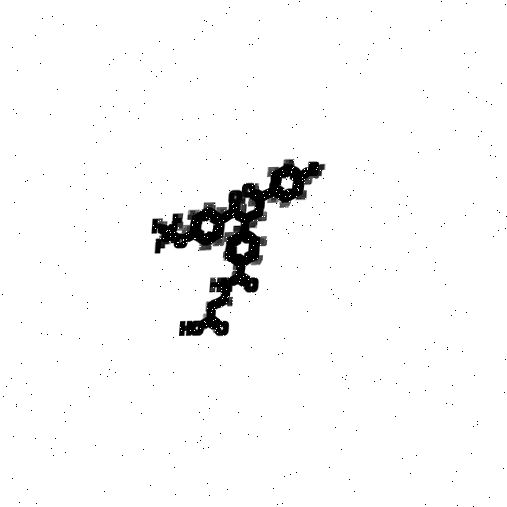 O=C(O)CCNC(=O)c1ccc(C(CC(=O)c2ccc(Br)cc2)C(=O)c2ccc(OC(F)(F)F)cc2)cc1